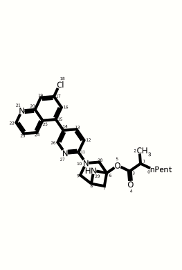 CCCCCC(C)C(=O)OC12CC(CN(c3ccc(-c4cc(Cl)cc5ncccc45)cn3)C1)N2